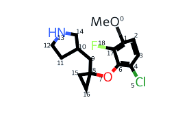 COc1ccc(Cl)c(OC2(CC3CCNC3)CC2)c1F